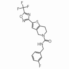 O=C(NCc1cccc(F)c1)N1CCc2sc(-c3noc(C(F)(F)F)n3)cc2C1